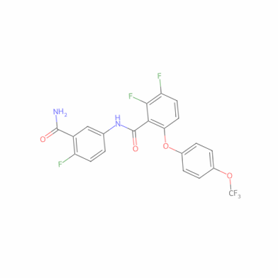 NC(=O)c1cc(NC(=O)c2c(Oc3ccc(OC(F)(F)F)cc3)ccc(F)c2F)ccc1F